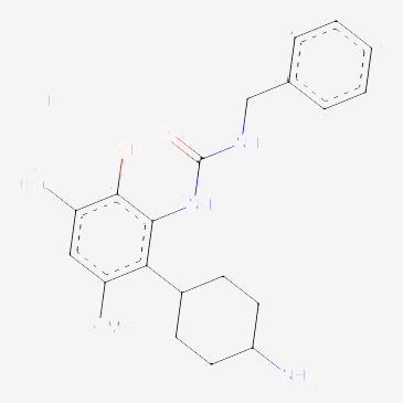 COc1cc(C(C)(C)C)c(O)c(NC(=O)NCc2ccccc2)c1C1CCC(N)CC1.Cl